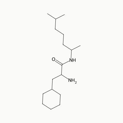 CC(C)CCCC(C)NC(=O)C(N)CC1CCCCC1